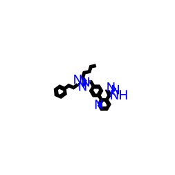 CCCCc1nc(CCc2ccccc2)nn1Cc1ccc(-c2ncccc2-c2cnn[nH]2)cc1